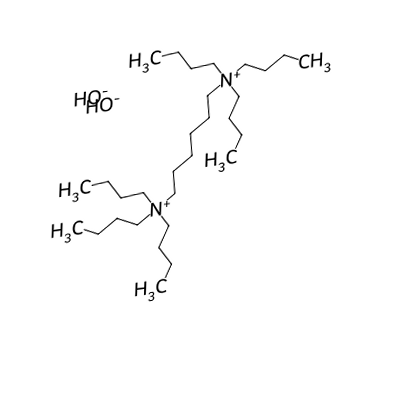 CCCC[N+](CCCC)(CCCC)CCCCCC[N+](CCCC)(CCCC)CCCC.[OH-].[OH-]